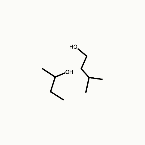 CC(C)CCO.CCC(C)O